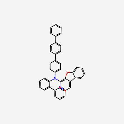 c1ccc(-c2ccc(-c3ccc(N(c4ccccc4-c4ccccc4)c4nccc5c4oc4ccccc45)cc3)cc2)cc1